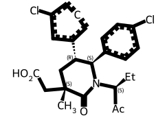 CC[C@@H](C(C)=O)N1C(=O)[C@](C)(CC(=O)O)C[C@H](c2cccc(Cl)c2)[C@H]1c1ccc(Cl)cc1